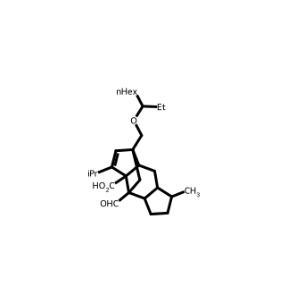 CCCCCCC(CC)OCC12C=C(C(C)C)C3(C(=O)O)C1CC1C(C)CCC1C3(C=O)C2